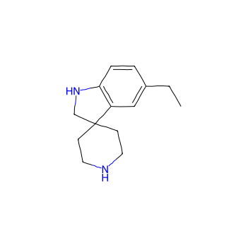 CCc1ccc2c(c1)C1(CCNCC1)CN2